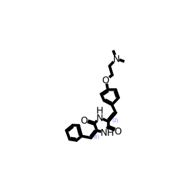 CN(C)CCOc1ccc(/C=c2\[nH]c(=O)/c(=C\c3ccccc3)[nH]c2=O)cc1